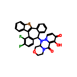 O=C1c2c(O)c(=O)ccn2N(C2c3ccccc3-c3sc4ccccc4c3-c3c2ccc(F)c3F)C2COCCN12